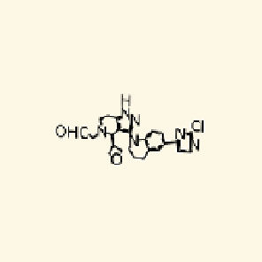 O=CCN1CCc2[nH]nc(N3CCCc4cc(-c5ccnc(Cl)n5)ccc43)c2C1C1COC1